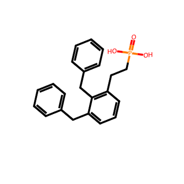 O=P(O)(O)CCc1cccc(Cc2ccccc2)c1Cc1ccccc1